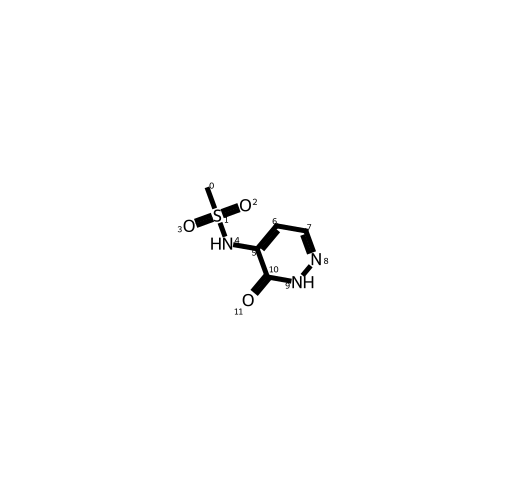 CS(=O)(=O)Nc1c[c]n[nH]c1=O